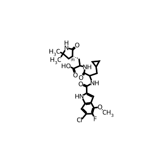 COc1c(F)c(Cl)cc2[nH]c(C(=O)NC(CC3CC3)C(=O)NC(C[C@@H]3CC(C)(C)NC3=O)C(=O)O)cc12